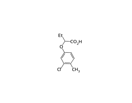 CCC(Oc1ccc(C)c(Cl)c1)C(=O)O